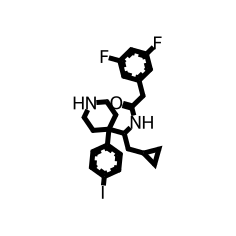 O=C(Cc1cc(F)cc(F)c1)NC(CC1CC1)C1(c2ccc(I)cc2)CCNCC1